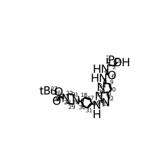 CC(C)[C@H](CO)NC(=O)Nc1ccc2cnc(Nc3ccc(N4CCN(C(=O)OC(C)(C)C)CC4)cc3)nc2n1